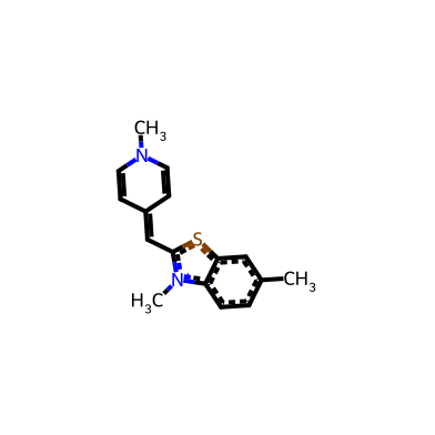 Cc1ccc2c(c1)sc(C=C1C=CN(C)C=C1)[n+]2C